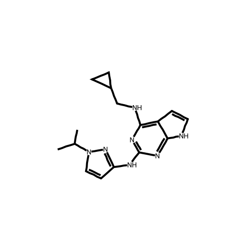 CC(C)n1ccc(Nc2nc(NCC3CC3)c3cc[nH]c3n2)n1